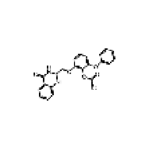 CCC(=O)Oc1c(OCC2NC(=O)c3ccccc3N2)cccc1Oc1ccccc1